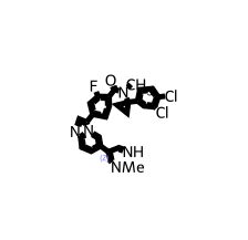 CN/C=C(\C=N)c1ccc2ncc(-c3ccc(C(=O)N(C)C4(c5ccc(Cl)c(Cl)c5)CC4)c(F)c3)n2c1